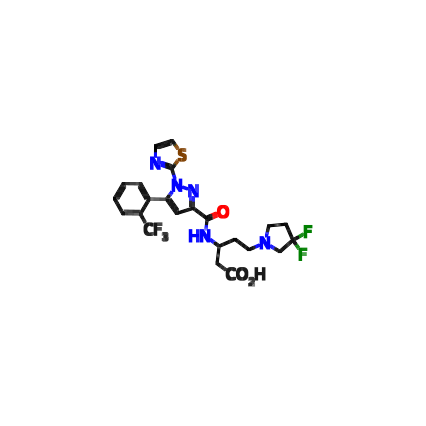 O=C(O)CC(CCN1CCC(F)(F)C1)NC(=O)c1cc(-c2ccccc2C(F)(F)F)n(-c2nccs2)n1